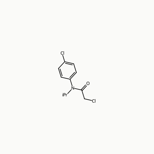 CC(C)N(C(=O)CCl)c1ccc(Cl)cc1